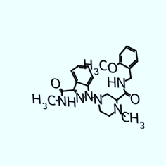 CNC(=O)c1nn(N2CCN(C)C(C(=O)NCc3ccccc3OC)C2)c2ccccc12